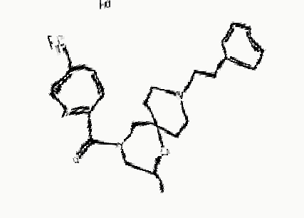 CC1CN(C(=O)c2ccc(C(F)(F)F)cn2)CC2(CCN(CCc3ccccc3)CC2)O1.Cl